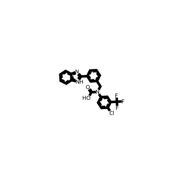 O=C(O)N(Cc1cccc(-c2nc3ccccc3[nH]2)c1)c1ccc(Cl)c(C(F)(F)F)c1